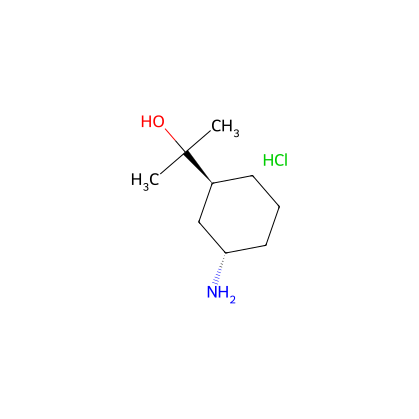 CC(C)(O)[C@H]1CCC[C@H](N)C1.Cl